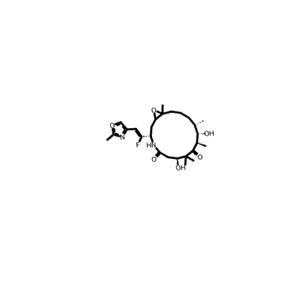 Cc1nc(C=C(F)[C@@H]2CC3OC3(C)CCC[C@H](C)[C@H](O)[C@@H](C)C(=O)C(C)(C)[C@@H](O)CC(=O)N2)co1